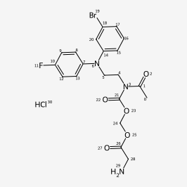 CC(=O)N(CCN(c1ccc(F)cc1)c1cccc(Br)c1)C(=O)OCOC(=O)CN.Cl